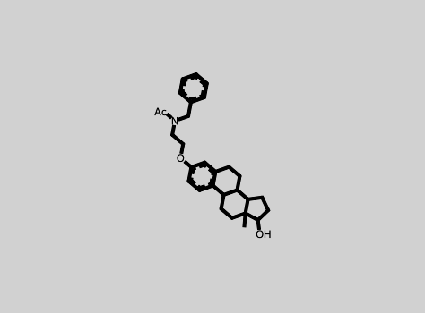 CC(=O)N(CCOc1ccc2c(c1)CCC1C2CCC2(C)C(O)CCC12)Cc1ccccc1